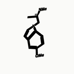 CN[C@H](C)Cn1ccc2cc(OC)ccc21